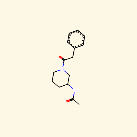 CC(C)C(=O)NC1CCCN(C(=O)Cc2ccccc2)C1